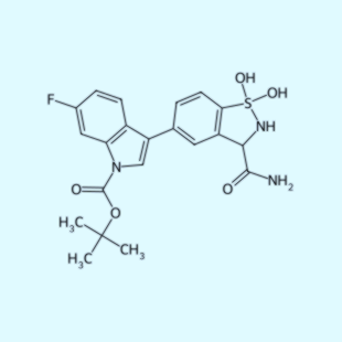 CC(C)(C)OC(=O)n1cc(-c2ccc3c(c2)C(C(N)=O)NS3(O)O)c2ccc(F)cc21